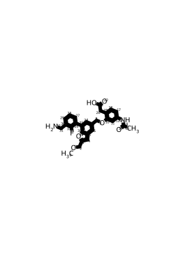 COCc1cc2cc(COc3cc(NC(C)=O)ccc3CC(=O)O)cc(-c3cccc(CN)c3F)c2o1